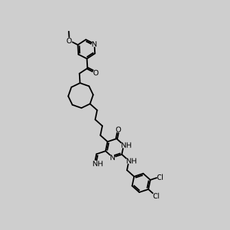 COc1cncc(C(=O)CC2CCCCC(CCCCc3c(C=N)nc(NCc4ccc(Cl)c(Cl)c4)[nH]c3=O)CC2)c1